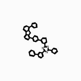 c1ccc(-c2cccc(-c3nc(-c4ccccc4)nc(-c4cccc(-c5ccc(-c6cccc7c6Cc6c(-c8ccccc8)cccc6-7)cc5)c4)n3)c2)cc1